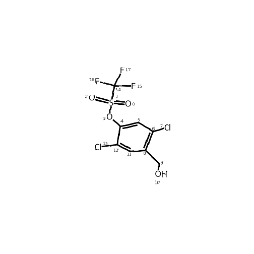 O=S(=O)(Oc1cc(Cl)c(CO)cc1Cl)C(F)(F)F